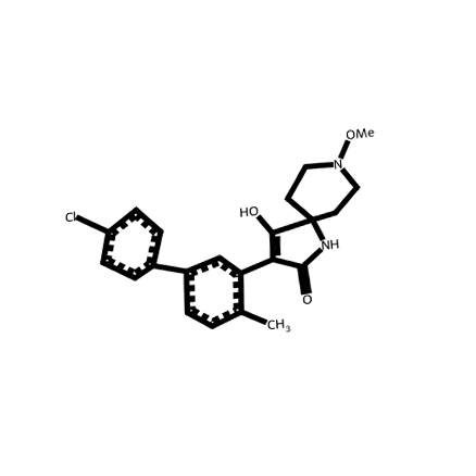 CON1CCC2(CC1)NC(=O)C(c1cc(-c3ccc(Cl)cc3)ccc1C)=C2O